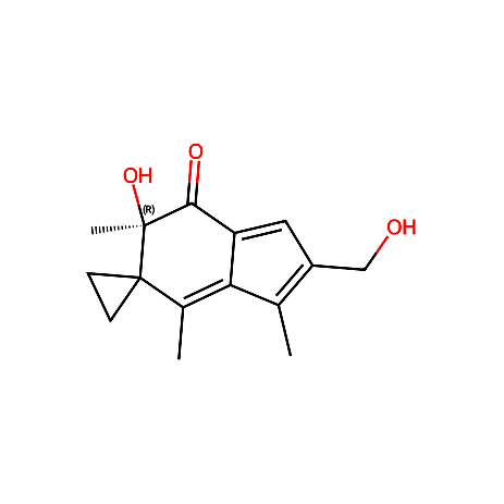 CC1=C(CO)C=C2C(=O)[C@](C)(O)C3(CC3)C(C)=C21